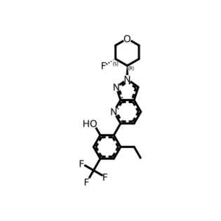 CCc1cc(C(F)(F)F)cc(O)c1-c1ccc2cn([C@@H]3CCOC[C@H]3F)nc2n1